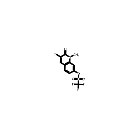 Cn1c(=O)c(Cl)cc2ccc(OS(=O)(=O)C(F)(F)F)cc21